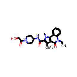 COc1c(C(=O)NC2CCN(C(=O)CO)CC2)n(C)c2c1c(=O)n(CC#N)c1ccccc21